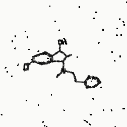 CC1C(O)c2ccc(Cl)cc2C1N(C)CCc1ccccc1